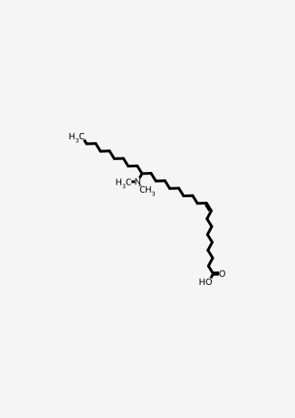 CCCCCCCCCC(CCCCCCCC/C=C\CCCCCCCC(=O)O)N(C)C